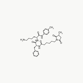 Cc1ccc(NC(=O)[C@H](CCCCN)NC(=O)[C@H](Cc2ccccc2)NC(=O)CCCCCN2C(=O)CC(C)C2=O)cc1